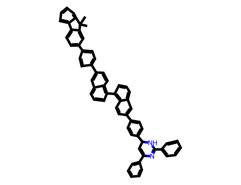 CC1(C)c2ccccc2-c2ccc(-c3ccc(-c4ccc5c(-c6cccc7cc(-c8ccc(C9C=C(c%10ccccc%10)N=C(c%10ccccc%10)N9)cc8)ccc67)cccc5c4)cc3)cc21